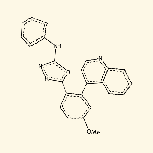 COc1ccc(-c2nnc(Nc3ccccc3)o2)c(-c2ccnc3ccccc23)c1